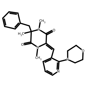 CN1C(=O)C(C)(Cc2ccccc2)N(C)C(=O)C1=Cc1cccnc1N1CCOCC1